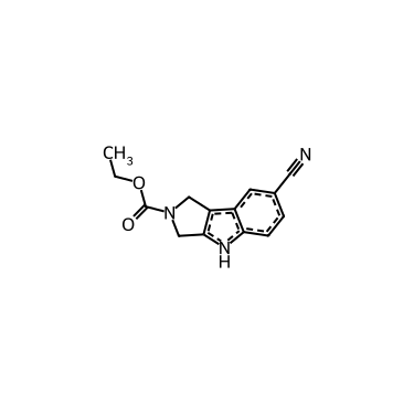 CCOC(=O)N1Cc2[nH]c3ccc(C#N)cc3c2C1